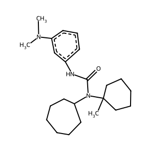 CN(C)c1cccc(NC(=O)N(C2CCCCCC2)C2(C)CCCCC2)c1